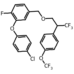 Fc1ccc(COCC(c2ccc(OC(F)(F)F)cc2)C(F)(F)F)cc1Oc1ccc(Cl)cc1